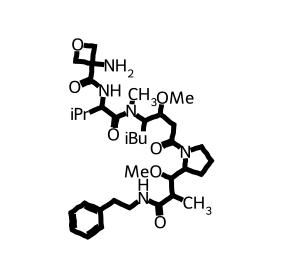 CCC(C)C(C(CC(=O)N1CCCC1C(OC)C(C)C(=O)NCCc1ccccc1)OC)N(C)C(=O)C(NC(=O)C1(N)COC1)C(C)C